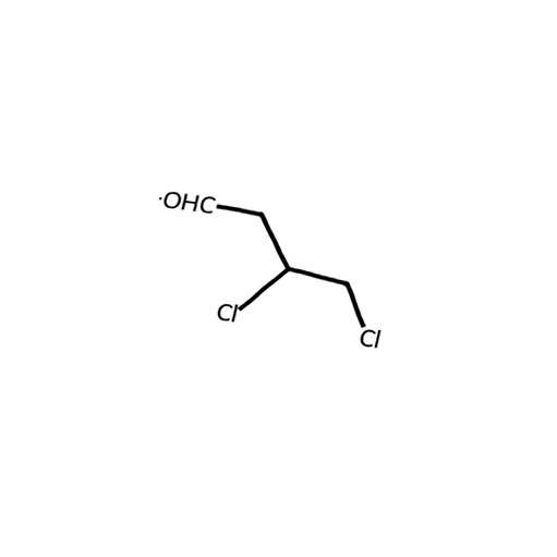 O=[C]CC(Cl)CCl